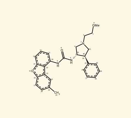 COCCN1C[C@@H](NC(=O)Nc2cccc3oc4ccc(C)cc4c23)[C@H](c2ccccc2)C1